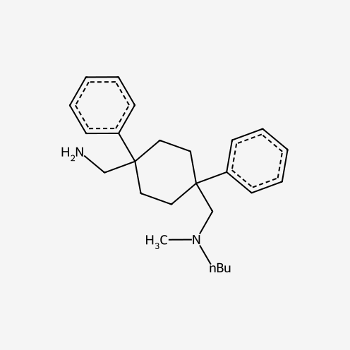 CCCCN(C)CC1(c2ccccc2)CCC(CN)(c2ccccc2)CC1